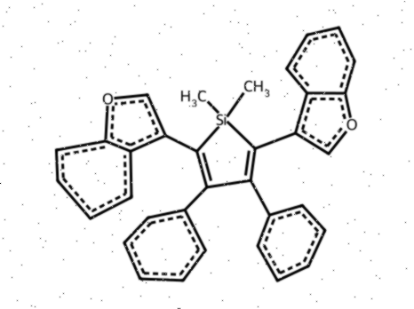 C[Si]1(C)C(c2coc3ccccc23)=C(c2ccccc2)C(c2ccccc2)=C1c1coc2ccccc12